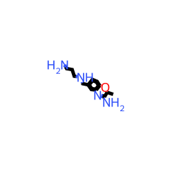 CC1Oc2ccc(CNCCCN)cc2N=C1N